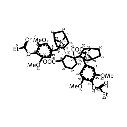 CCC(=O)Oc1c(OC)cc(C[N+]2(C)C3CCC2CC([C@H]2C(C(=O)[O-])CCC[C@@]2(C(=O)[O-])C2CC4CCC(C2)[N+]4(C)Cc2cc(OC)c(OC(=O)CC)c(OC)c2)C3)cc1OC